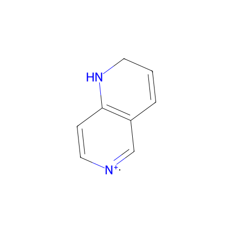 C1=CC2=C(C=C[N+]=C2)NC1